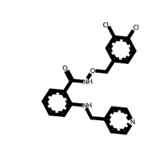 O=C(NOCc1ccc(Cl)c(Cl)c1)c1ccccc1NCc1ccncc1